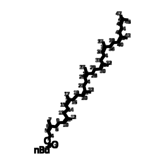 CCCCC(=O)OCC=C(C)CCC=C(C)CCC=C(C)CCC=C(C)CCC=C(C)CCC=C(C)CCC=C(C)CCC=C(C)CCC=C(C)C